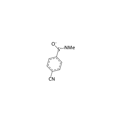 CN[S+]([O-])c1ccc(C#N)cc1